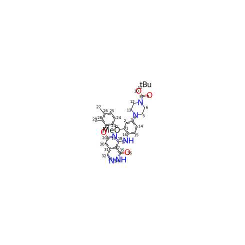 COc1cc(N2CCN(C(=O)OC(C)(C)C)CC2)ccc1Nc1nc(Oc2cccc(C)c2C)cc2cn[nH]c(=O)c12